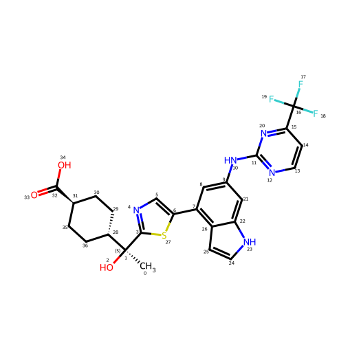 C[C@@](O)(c1ncc(-c2cc(Nc3nccc(C(F)(F)F)n3)cc3[nH]ccc23)s1)[C@H]1CC[C@H](C(=O)O)CC1